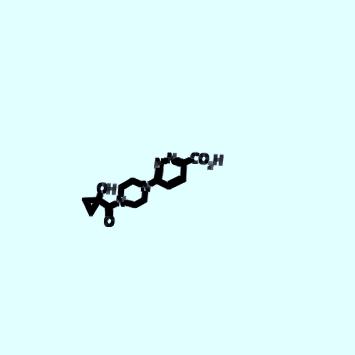 O=C(O)c1ccc(N2CCN(C(=O)C3(O)CC3)CC2)nn1